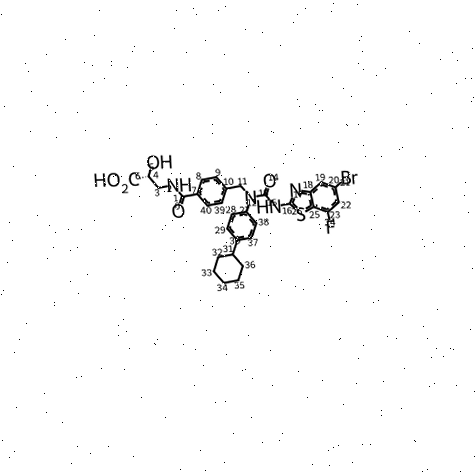 O=C(NC[C@@H](O)C(=O)O)c1ccc(CN(C(=O)Nc2nc3cc(Br)cc(F)c3s2)c2ccc(C3CCCCC3)cc2)cc1